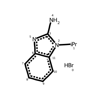 Br.CC(C)n1c(N)nc2ccccc21